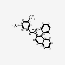 Cc1ccccc1-c1c(OCc2cc(C(F)(F)F)cc(C(F)(F)F)c2)ccc2ncccc12